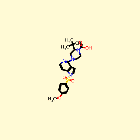 COc1ccc(S(=O)(=O)n2ccc3c(N4CCN(C(=O)O)C(C(C)(C)C)C4)nccc32)cc1